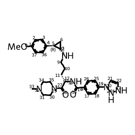 COc1ccc([C@H]2C[C@@H]2NCCC[C@H](NC(=O)c2ccc(N3C=CNN3)cc2)C(=O)N2CCN(C)CC2)cc1